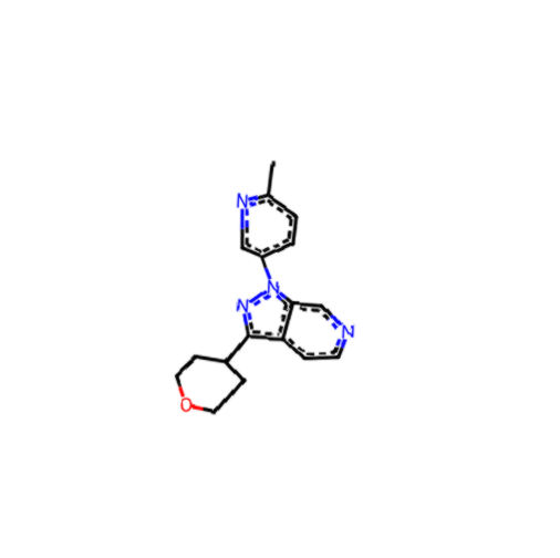 Cc1ccc(-n2nc(C3CCOCC3)c3ccncc32)cn1